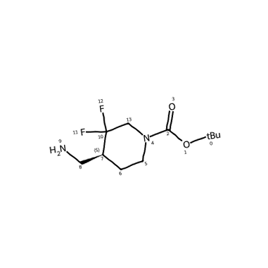 CC(C)(C)OC(=O)N1CC[C@@H](CN)C(F)(F)C1